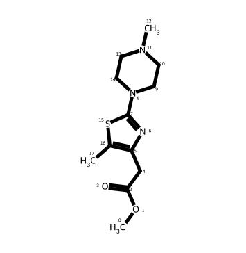 COC(=O)Cc1nc(N2CCN(C)CC2)sc1C